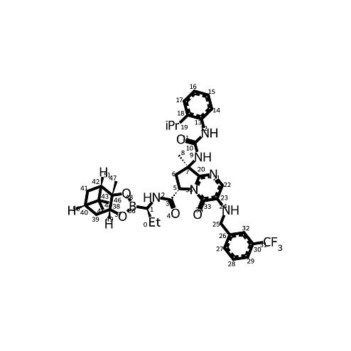 CC[C@H](NC(=O)[C@@H]1C[C@@](C)(NC(=O)Nc2ccccc2C(C)C)c2ncc(NCc3cccc(C(F)(F)F)c3)c(=O)n21)B1O[C@@H]2C[C@@H]3C[C@@H](C3(C)C)[C@]2(C)O1